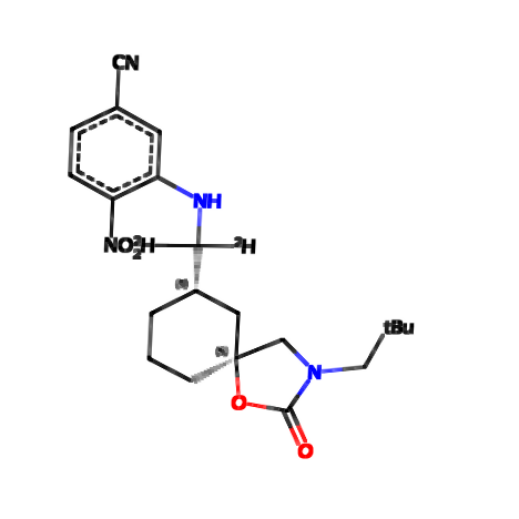 [2H]C([2H])(Nc1cc(C#N)ccc1[N+](=O)[O-])[C@H]1CCC[C@]2(C1)CN(CC(C)(C)C)C(=O)O2